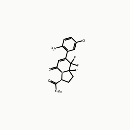 COC(=O)[C@@H]1CC[C@@H]2N1C(=O)C=C(c1cc(Cl)ccc1[N+](=O)[O-])C2(F)F